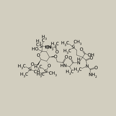 CC(=O)N[C@@H]1[C@@H](OCC(=O)NC(C)C(=O)NC(CC[Si](C)(C)C)(C(=O)O)C(=O)N(C)C(N)=O)[C@H](O[Si](C)(C)C)[C@@H](CO[Si](C)(C)C)OC1(O)[Si](C)(C)C